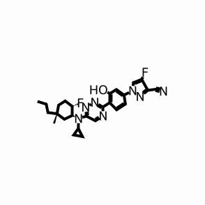 CCC[C@]1(C)CC[C@H](F)[C@H](N(c2cnc(-c3ccc(-n4cc(F)c(C#N)n4)cc3O)nn2)C2CC2)C1